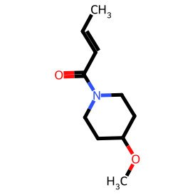 CC=CC(=O)N1CCC(OC)CC1